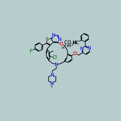 Cc1c2ccc(c1Cl)CN(CCN1CCN(C)CC1)Cc1ccc(OCc3ccnc(-c4ccccc4C#N)n3)c(c1)C[C@H](C(=O)O)Oc1ncnc3sc(-c4ccc(F)cc4)c-2c13